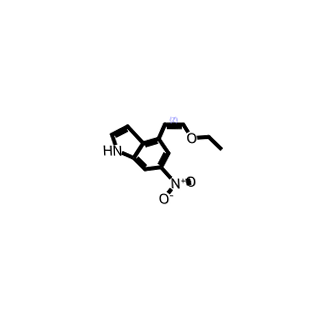 CCO/C=C\c1cc([N+](=O)[O-])cc2[nH]ccc12